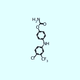 NC(=O)Oc1ccc(Nc2ccc(Cl)c(C(F)(F)F)c2)cc1